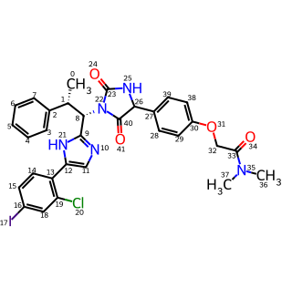 C[C@@H](c1ccccc1)[C@@H](c1ncc(-c2ccc(I)cc2Cl)[nH]1)N1C(=O)NC(c2ccc(OCC(=O)N(C)C)cc2)C1=O